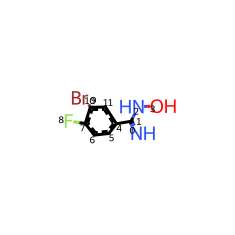 N=C(NO)c1ccc(F)c(Br)c1